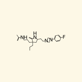 C=C(C)NCCCC1(CCC)CC(CCN2CN(c3ccc(F)cc3)C2)NC1=C